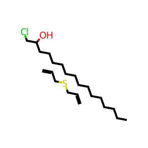 C=CCSCC=C.CCCCCCCCCCCCCCC(O)CCl